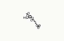 CC(=O)Oc1ccc(OC(=O)CCSCCO[N+](=O)[O-])cc1CS